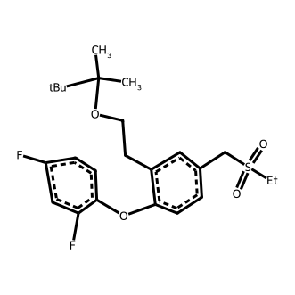 CCS(=O)(=O)Cc1ccc(Oc2ccc(F)cc2F)c(CCOC(C)(C)C(C)(C)C)c1